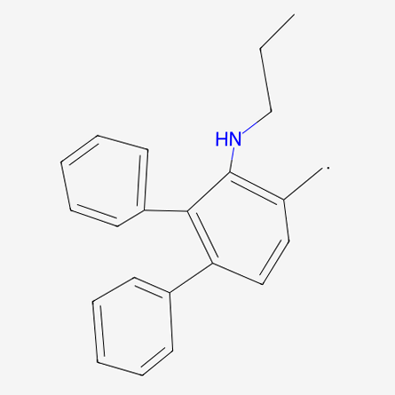 [CH2]c1ccc(-c2ccccc2)c(-c2ccccc2)c1NCCC